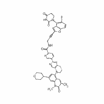 Cc1cc2c(N3CCCc4nc(-c5ccc(C(=O)NCC#Cc6cc7c(N8CCC(=O)NC8=O)c(F)ccc7o6)nc5)ncc43)cc(C3CCOCC3)cc2n(C)c1=O